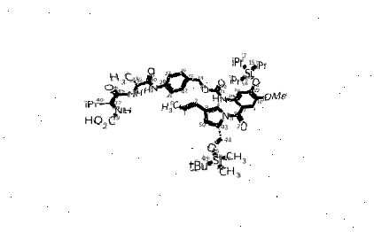 CC=CC1=CN(C(=O)c2cc(OC)c(O[Si](C(C)C)(C(C)C)C(C)C)cc2NC(=O)OCc2ccc(NC(=O)[C@H](C)NC(=O)[C@@H](NC(=O)O)C(C)C)cc2)[C@H](CO[Si](C)(C)C(C)(C)C)C1